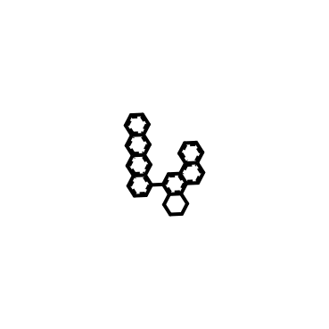 c1ccc2cc3cc4c(-c5cc6c(ccc7ccccc76)c6c5CCCC6)cccc4cc3cc2c1